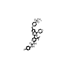 CS(=O)(=O)N1CCN(Cc2cc3c(N4CCOCC4)nc(-c4cnc(NC(=O)Nc5ccc(F)cc5)cc4C(F)(F)F)nn3c2)CC1